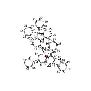 c1ccc(-c2cccc(N(c3ccc4c(c3)C(c3ccccc3)(c3ccccc3)c3ccccc3-4)c3ccccc3-c3cccc4c3sc3ccccc34)c2)cc1